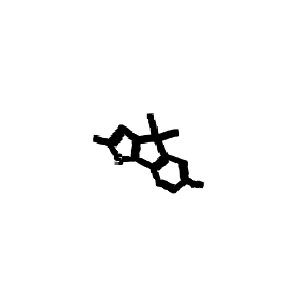 Cc1ccc2c(c1)C(C)(C)c1cc(C)sc1-2